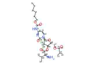 CCCCCCOC(=O)Nc1ccn([C@@H]2O[C@H](COC(=O)C(C)C)[C@@H](OC(=O)[C@@H](N)C(C)C)C2(F)F)c(=O)n1